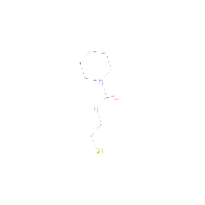 O=C(OCCS)N1CCCCC1